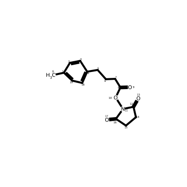 Cc1ccc(CCCC(=O)ON2C(=O)CCC2=O)cc1